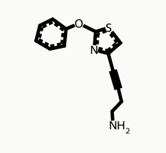 NCCC#Cc1csc(Oc2ccccc2)n1